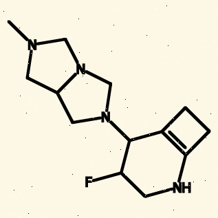 CN1CC2CN(C3C4=C(CC4)NCC3F)CN2C1